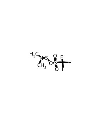 CN(C)SOS(=O)(=O)C(F)(F)F